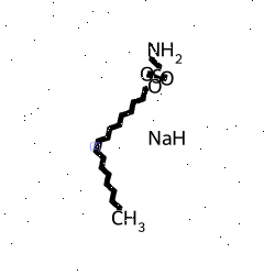 CCCCCCCC/C=C\CCCCCCCCOS(=O)(=O)CCN.[NaH]